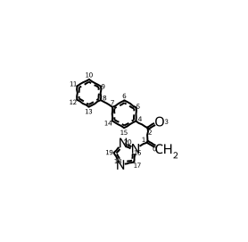 C=C(C(=O)c1ccc(-c2ccccc2)cc1)n1cncn1